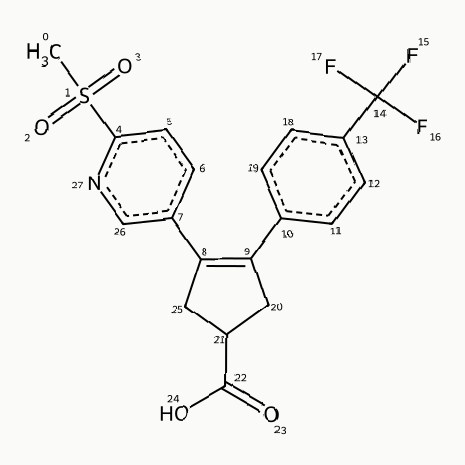 CS(=O)(=O)c1ccc(C2=C(c3ccc(C(F)(F)F)cc3)CC(C(=O)O)C2)cn1